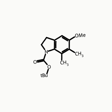 COc1cc2c(c(C)c1C)N(C(=O)OC(C)(C)C)CC2